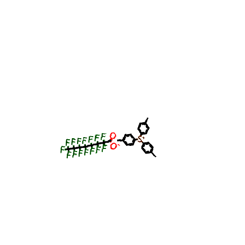 Cc1ccc([S+](c2ccc(C)cc2)c2ccc(C)cc2)cc1.O=C([O-])C(F)(F)C(F)(F)C(F)(F)C(F)(F)C(F)(F)C(F)(F)C(F)(F)F